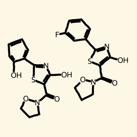 O=C(c1sc(-c2cccc(F)c2)nc1O)N1CCCO1.O=C(c1sc(-c2ccccc2O)nc1O)N1CCCO1